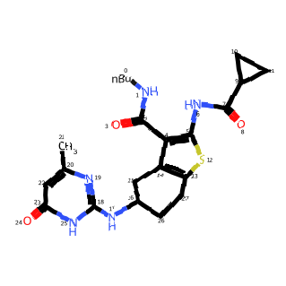 CCCCNC(=O)c1c(NC(=O)C2CC2)sc2c1CC(Nc1nc(C)cc(=O)[nH]1)CC2